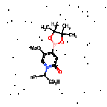 CCCC(C(=O)O)n1cc(OC)c(B2OC(C)(C)C(C)(C)O2)cc1=O